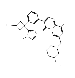 Cc1cc(CN2CCC[C@H](C)C2)cn2c(=O)c(-c3cccc(C4(c5nncn5C)CC(C)C4)c3)cnc12